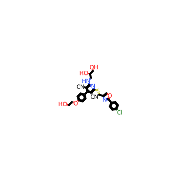 [C-]#[N+]c1c(NC[C@@H](O)CO)nc(SCc2coc(-c3ccc(Cl)cc3)n2)c(C#N)c1-c1ccc(OCCO)cc1